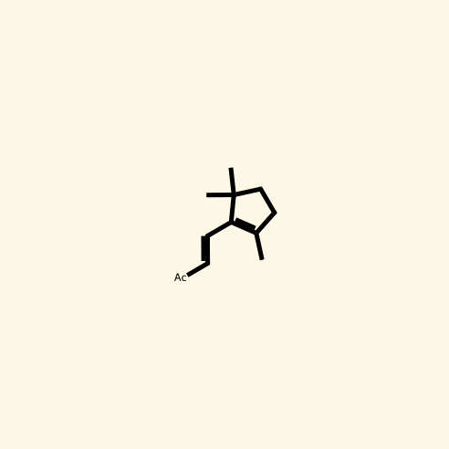 CC(=O)/C=C/C1=C(C)CCC1(C)C